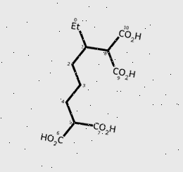 CCC(CCCC(C(=O)O)C(=O)O)C(C(=O)O)C(=O)O